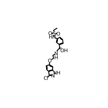 CCS(=O)(=O)Nc1cccc([C@@H](O)CNCCOc2ccc3c(Cl)n[nH]c3c2)c1